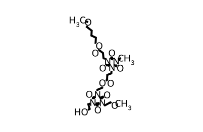 COCCCCCOC(=O)CCn1c(=O)n(C)c(=O)n(CCC(=O)OCCn2c(=O)n(CCO)c(=O)n(CCOC)c2=O)c1=O